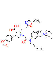 CCCCN(C(=O)CN1C[C@H](c2ccc3c(c2)OCO3)[C@@H](C(=O)O)[C@@H]1CCc1ncc(C)o1)c1cccc(C[N+](C)(C)C)c1